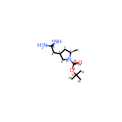 C[C@@H]1CC(CC(=N)N)CN1C(=O)OC(C)(C)C